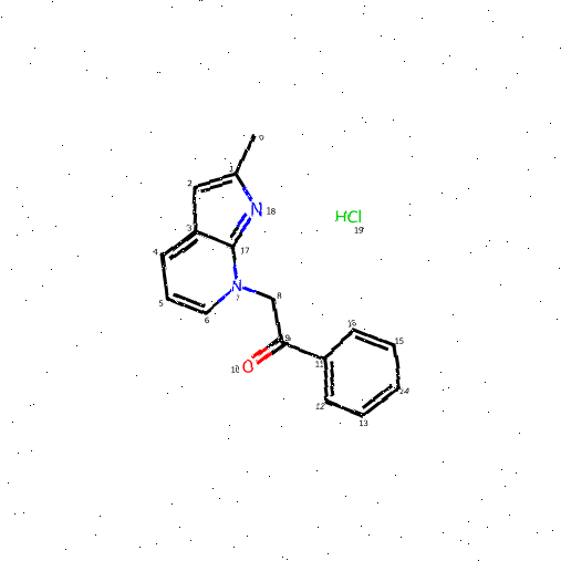 Cc1cc2cccn(CC(=O)c3ccccc3)c-2n1.Cl